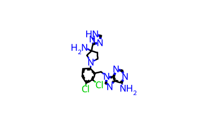 Nc1ncnc2c1ncn2Cc1c(N2CCC(N)(c3nc[nH]n3)C2)ccc(Cl)c1Cl